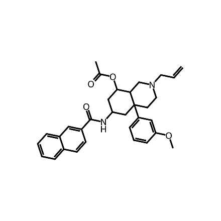 C=CCN1CCC2(c3cccc(OC)c3)CC(NC(=O)c3ccc4ccccc4c3)CC(OC(C)=O)C2C1